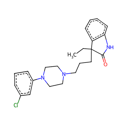 CCC1(CCCN2CCN(c3cccc(Cl)c3)CC2)C(=O)Nc2ccccc21